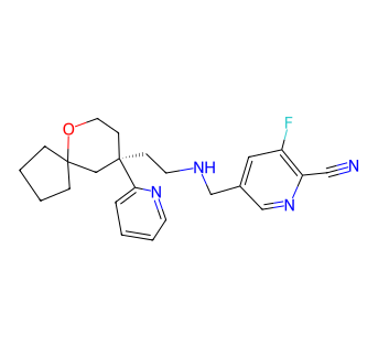 N#Cc1ncc(CNCC[C@@]2(c3ccccn3)CCOC3(CCCC3)C2)cc1F